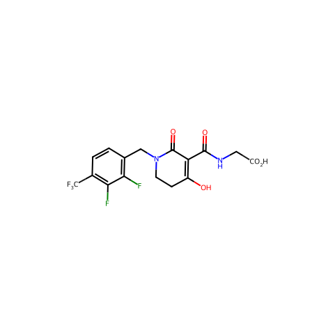 O=C(O)CNC(=O)C1=C(O)CCN(Cc2ccc(C(F)(F)F)c(F)c2F)C1=O